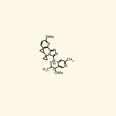 COc1cccc(-c2nnc(NSC(C)[C@H](OC)c3cnc(C)cn3)n2C2(C3CC3)CC2)n1